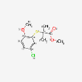 COC(=O)C(C)(C)Sc1cc(Cl)ccc1OC